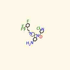 Nc1ccc2c(c1)C1(CCN(C/C=C/c3ccc(F)cc3C(F)(F)F)CC1)CN2C(=O)c1ccnc(Cl)c1